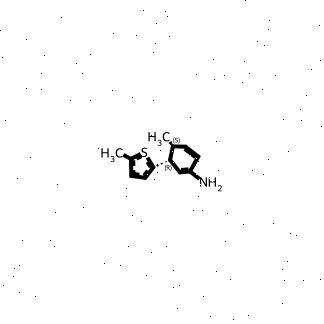 Cc1ccc([C@H]2C=C(N)C=C[C@@H]2C)s1